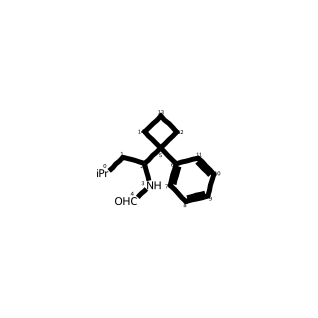 CC(C)CC(NC=O)C1(c2ccccc2)CCC1